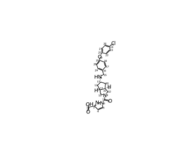 O=C(O)c1ccn(C(=O)N2C[C@H]3C[C@H](NCc4ccc(Oc5ccc(Cl)cc5)cc4)C[C@H]3C2)n1